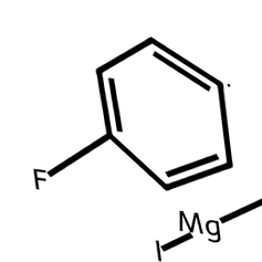 Fc1cc[c]cc1.[I][Mg][I]